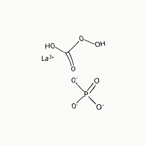 O=C(O)OO.O=P([O-])([O-])[O-].[La+3]